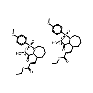 CCOC(=O)/C=C/C1CCCCN(S(=O)(=O)c2ccc(OC)cc2)C1C(=O)NO.CCOC(=O)/C=C/C1CCCCN(S(=O)(=O)c2ccc(OC)cc2)C1C(=O)NO